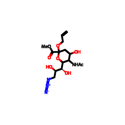 C=CCOC1(C(=O)OC)CC(O)C(NC(C)=O)C([C@H](O)[C@H](O)CN=[N+]=[N-])O1